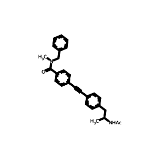 CC(=O)NC(C)Cc1ccc(C#Cc2ccc(C(=O)N(C)Cc3ccccc3)cc2)cc1